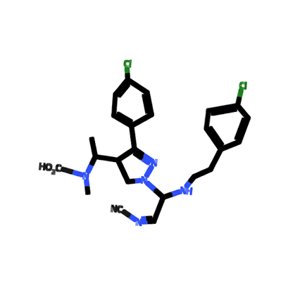 CC(C1CN(C(/C=N\C#N)NCCc2ccc(Cl)cc2)N=C1c1ccc(Cl)cc1)N(C)C(=O)O